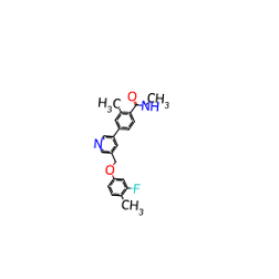 CNC(=O)c1ccc(-c2cncc(COc3ccc(C)c(F)c3)c2)cc1C